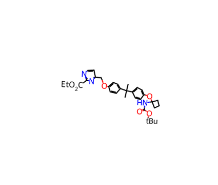 CCOC(=O)c1nccc(COc2ccc(C(C)(C)c3ccc(OC4(NC(=O)OC(C)(C)C)CCC4)cc3)cc2)n1